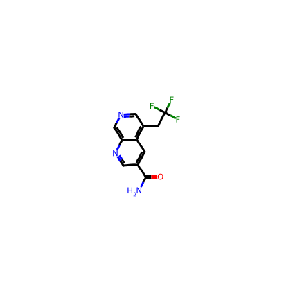 NC(=O)c1cnc2cncc(CC(F)(F)F)c2c1